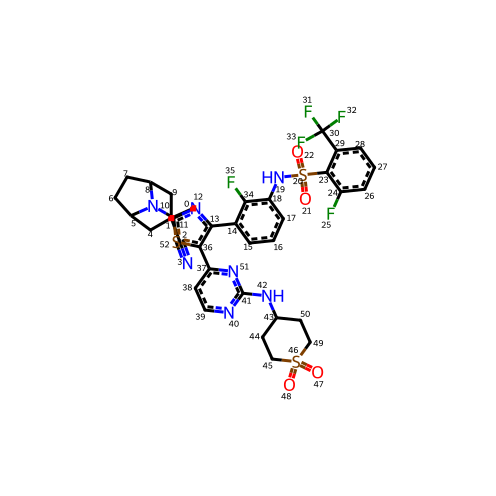 CC1(C#N)CC2CCC(C1)N2c1nc(-c2cccc(NS(=O)(=O)c3c(F)cccc3C(F)(F)F)c2F)c(-c2ccnc(NC3CCS(=O)(=O)CC3)n2)s1